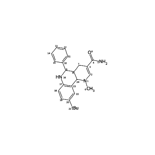 CN1C=C(C(N)=O)CC2C(c3ccccc3)Nc3ccc(C(C)(C)C)cc3C21